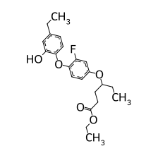 CCOC(=O)CCC(CC)Oc1ccc(Oc2ccc(CC)cc2O)c(F)c1